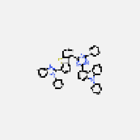 c1ccc(-c2nc(-c3cccc4sc5c(-c6nc7ccccc7n6-c6ccccc6)cccc5c34)nc(-c3cccc4c3c3ccccc3n4-c3ccccc3)n2)cc1